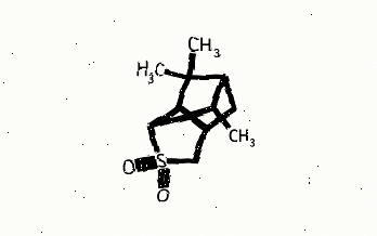 CC1C2CC3CS(=O)(=O)C1C3C2(C)C